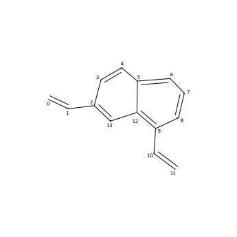 C=Cc1ccc2cccc(C=C)c2c1